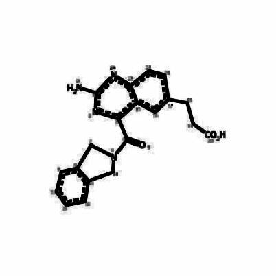 Nc1nc(C(=O)N2Cc3ccccc3C2)c2cc(CCC(=O)O)ccc2n1